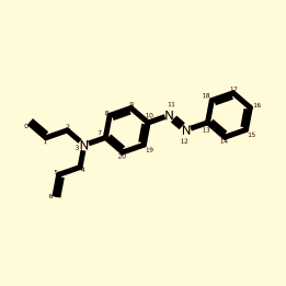 C=CCN(CC=C)c1ccc(N=Nc2ccccc2)cc1